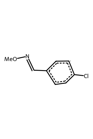 CON=Cc1c[c]c(Cl)cc1